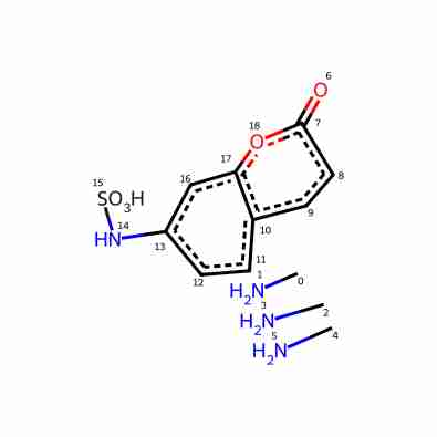 CN.CN.CN.O=c1ccc2ccc(NS(=O)(=O)O)cc2o1